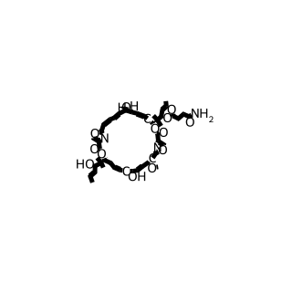 C/C=C/[C@H](OC(=O)CCC(N)=O)C(C)(C)[C@@H]1C/C=C\[C@H]2O[C@H]2/C=C/C=C\c2nc(co2)C(=O)O[C@H](C(C)(C)[C@@H](O)/C=C/C)C/C=C\CC(O)/C=C/[C@H](OC)Cc2nc(co2)C(=O)O1